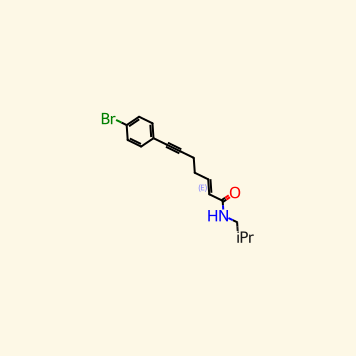 CC(C)CNC(=O)/C=C/CCC#Cc1ccc(Br)cc1